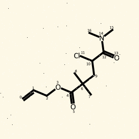 C=CCOC(=O)C(C)(C)CC(Cl)C(=O)N(C)C